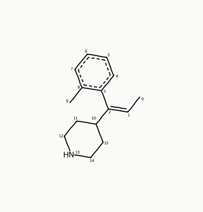 C/C=C(\c1ccccc1C)C1CCNCC1